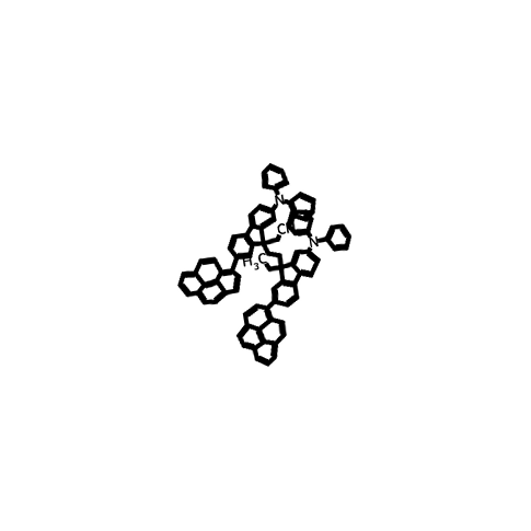 CCC1(CCC2(CC)c3cc(-c4ccc5ccc6cccc7ccc4c5c67)ccc3-c3ccc(N(c4ccccc4)c4ccccc4)cc32)c2cc(-c3ccc4ccc5cccc6ccc3c4c56)ccc2-c2ccc(N(c3ccccc3)c3ccccc3)cc21